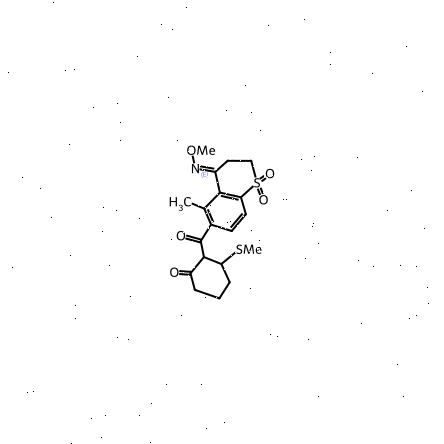 CO/N=C1\CCS(=O)(=O)c2ccc(C(=O)C3C(=O)CCCC3SC)c(C)c21